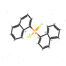 S=P(S)(c1cccc2ccccc12)c1cccc2ccccc12